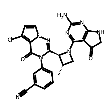 C[C@H]1CN(c2nc(N)nc3c2C(=O)CN3)[C@@H]1c1nn2ccc(Cl)c2c(=O)n1-c1cccc(C#N)c1